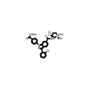 COC(=O)c1ccc(-n2nc(-c3ccccc3Cl)c3ccc(C(=O)NC4(C)CCS(O)(O)C4)cc32)cc1